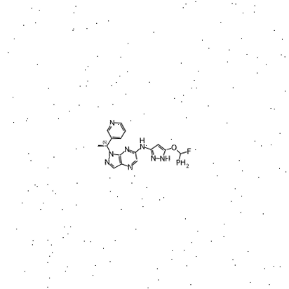 C[C@@H](c1cccnc1)n1ncc2ncc(Nc3cc(OC(F)P)[nH]n3)nc21